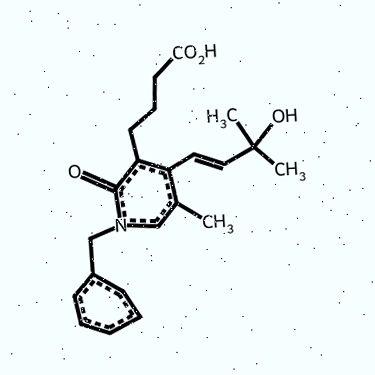 Cc1cn(Cc2ccccc2)c(=O)c(CCCC(=O)O)c1C=CC(C)(C)O